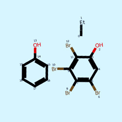 CCC.Oc1cc(Br)c(Br)c(Br)c1Br.Oc1ccccc1